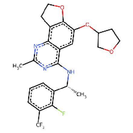 Cc1nc(N[C@H](C)c2cccc(C(F)(F)F)c2F)c2cc(OC3CCOC3)c3c(c2n1)CCO3